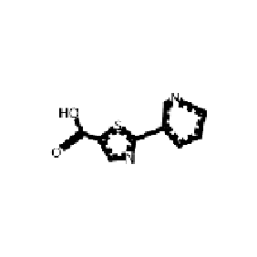 O=C(O)c1cnc(-c2cccnc2)s1